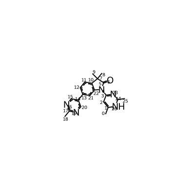 CC1=CC(N2C(=O)C(C)(C)c3ccc(-c4cnc(C)nc4)cc32)=NC(C)N1